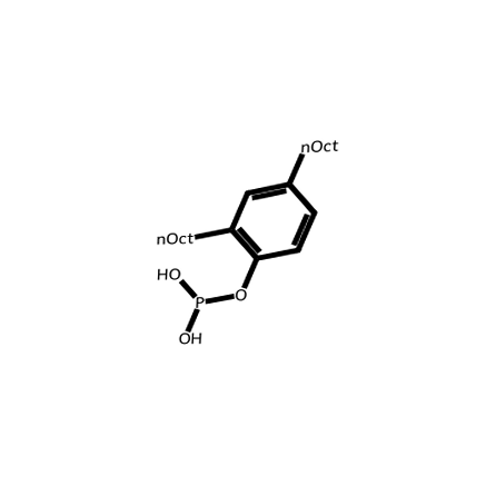 CCCCCCCCc1ccc(OP(O)O)c(CCCCCCCC)c1